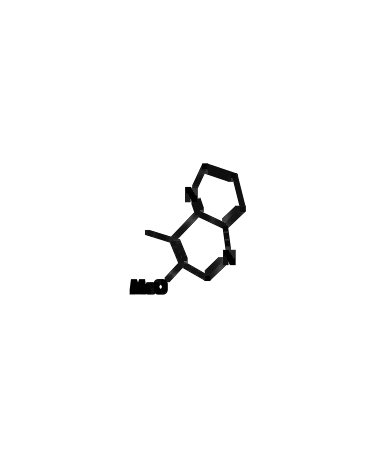 COc1cnc2cccnc2c1C